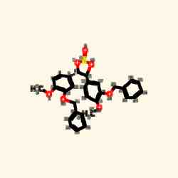 COc1ccc([C@@H]2OS(=O)O[C@H]2c2ccc(OC)c(OCc3ccccc3)c2)cc1OCc1ccccc1